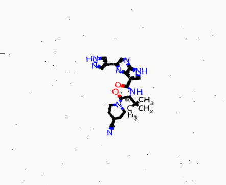 CC(C)(C)[C@@H](NC(=O)c1c[nH]c2ncc(-c3cn[nH]c3)nc12)C(=O)N1CCC(C#N)CC1